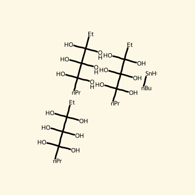 CCCC(O)(O)C(O)(O)C(O)(O)CC.CCCC(O)(O)C(O)(O)C(O)(O)CC.CCCC(O)(O)C(O)(O)C(O)(O)CC.CCC[CH2][SnH]